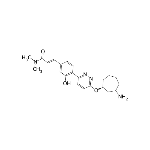 CN(C)C(=O)/C=C/c1ccc(-c2ccc(O[C@H]3CCCCC(N)C3)nn2)c(O)c1